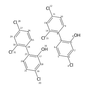 Oc1cc(Cl)ccc1-c1ccc(Cl)cc1Cl.Oc1cc(Cl)ccc1-c1ccc(Cl)cc1Cl